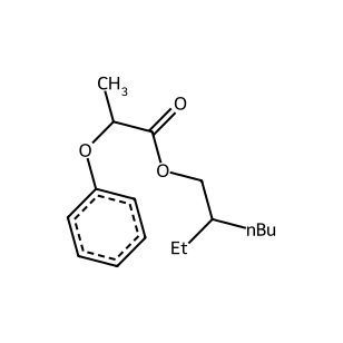 CCCCC(CC)COC(=O)C(C)Oc1ccccc1